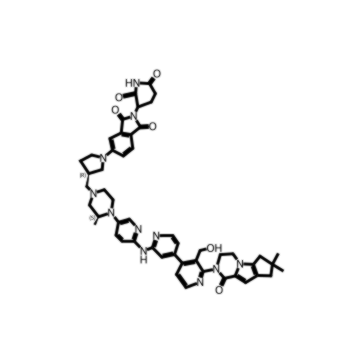 C[C@H]1CN(C[C@H]2CCN(c3ccc4c(c3)C(=O)N(C3CCC(=O)NC3=O)C4=O)C2)CCN1c1ccc(Nc2cc(-c3ccnc(N4CCn5c(cc6c5CC(C)(C)C6)C4=O)c3CO)ccn2)nc1